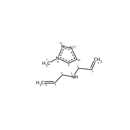 C=CCNCC=C.Cn1ccnn1